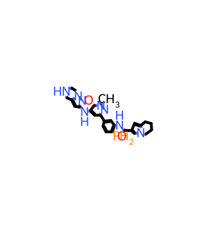 Cn1nc(-c2ccc(P)c(NC(=O)c3cc4n(c3)CCCC4)c2)cc(Nc2cc3n(n2)CCNC3)c1=O